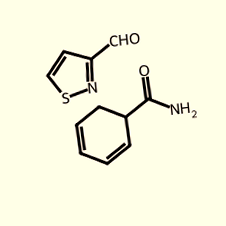 NC(=O)C1C=CC=CC1.O=Cc1ccsn1